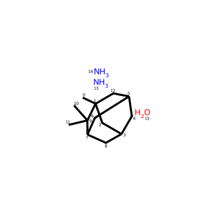 CC12CC3CC(CC(C3)C1(C)C)C2.N.N.O